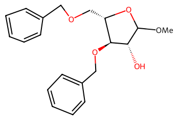 COC1O[C@@H](COCc2ccccc2)[C@H](OCc2ccccc2)[C@H]1O